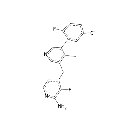 Cc1c(Cc2ccnc(N)c2F)cncc1-c1cc(Cl)ccc1F